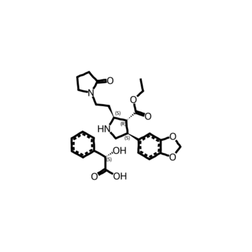 CCOC(=O)[C@H]1[C@H](CCN2CCCC2=O)NC[C@@H]1c1ccc2c(c1)OCO2.O=C(O)[C@@H](O)c1ccccc1